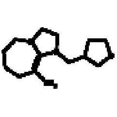 O=[N+]([O-])C1=C2N(CCCC1)CCN2CC1CCOC1